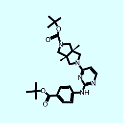 CC(C)(C)OC(=O)c1ccc(Nc2nccc(N3C[C@]4(C)CN(C(=O)OC(C)(C)C)C[C@]4(C)C3)n2)cc1